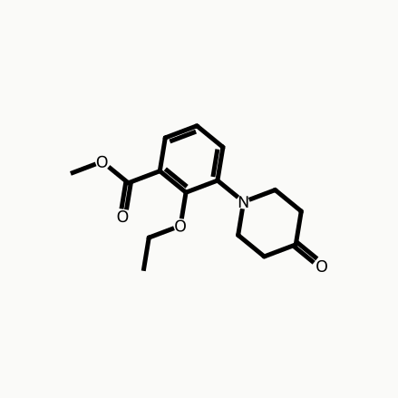 CCOc1c(C(=O)OC)cccc1N1CCC(=O)CC1